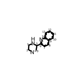 C1#[N+]CCNC1c1ccc2ccccc2n1